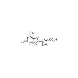 CC(C)c1cc(C#N)c2sc(-n3cc(C(=O)O)cn3)cc2c1